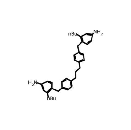 CCCCc1cc(N)ccc1Cc1ccc(CCCc2ccc(Cc3ccc(N)cc3CCCC)cc2)cc1